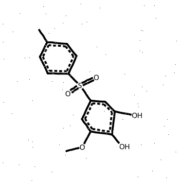 COc1cc(S(=O)(=O)c2ccc(C)cc2)cc(O)c1O